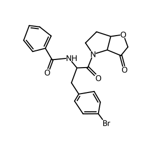 O=C(NC(Cc1ccc(Br)cc1)C(=O)N1CCC2OCC(=O)C21)c1ccccc1